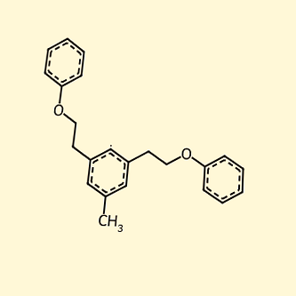 Cc1cc(CCOc2ccccc2)[c]c(CCOc2ccccc2)c1